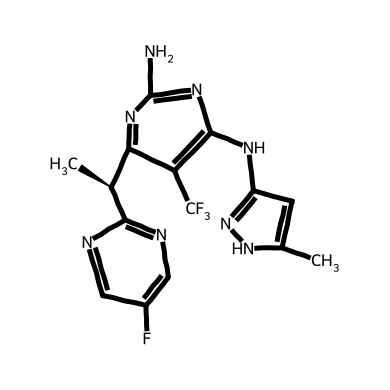 Cc1cc(Nc2nc(N)nc([C@H](C)c3ncc(F)cn3)c2C(F)(F)F)n[nH]1